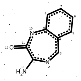 Nc1ncc2ccccc2nc1=O